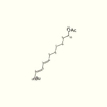 CCCCC=CC=CCCCCCCOC(C)=O